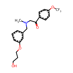 CN(CC(=O)c1ccc(OC(F)(F)F)cc1)Cc1cccc(OCCCO)c1